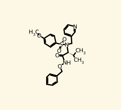 COc1ccc(S(=O)(=O)N(Cc2cccnc2)[C@@H](C(=O)NOCc2ccccc2)C(C)C)cc1